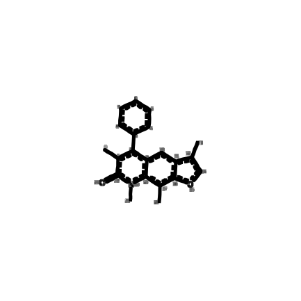 Cc1c(-c2ccccc2)c2cc3c(C)coc3c(C)c2n(C)c1=O